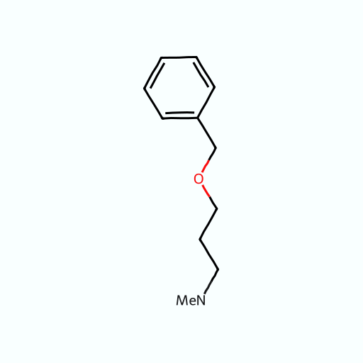 CNCCCOCc1ccccc1